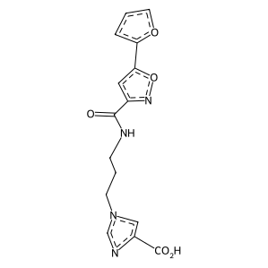 O=C(O)c1cn(CCCNC(=O)c2cc(-c3ccco3)on2)cn1